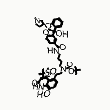 CN1CCC(OC(=O)C(O)(c2ccccc2)c2cccc(C(=O)NCCCCN(CC(O[Si](C)(C)C(C)(C)C)c3ccc(O)c4[nH]c(=O)ccc34)C(=O)OC(C)(C)C)c2)C1